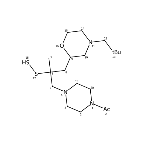 CC(=O)N1CCN(CC(C)(CC2CN(CC(C)(C)C)CCO2)SS)CC1